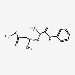 COC(=O)CC(C)=NN(C)C(=S)Nc1ccccc1